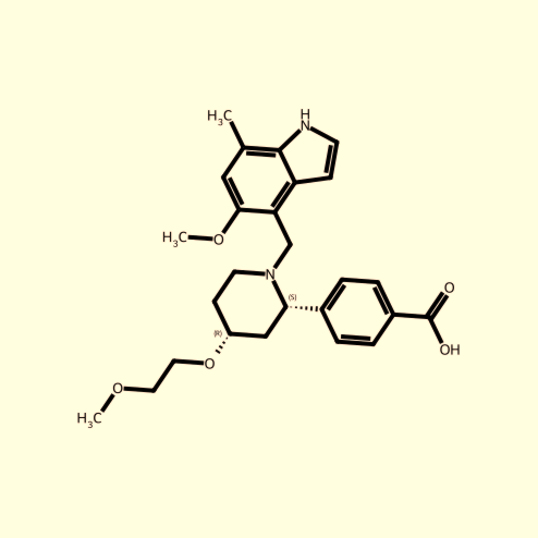 COCCO[C@@H]1CCN(Cc2c(OC)cc(C)c3[nH]ccc23)[C@H](c2ccc(C(=O)O)cc2)C1